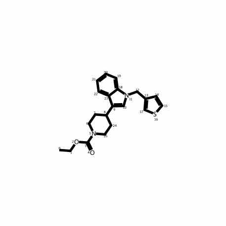 CCOC(=O)N1CCC(c2cn(Cc3ccsc3)c3ccccc23)CC1